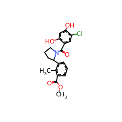 COC(=O)c1cccc(C2CCCN2C(=O)c2cc(Cl)c(O)cc2O)c1C